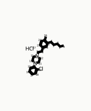 CCCCCc1cc(CCN2CCN(c3ccccc3Cl)CC2)ccc1C.Cl